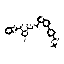 CC(C)(C)OC(=O)c1ccc(-c2ccc3nccc(C(=O)NCC(=O)N4C[C@@H](F)C[C@H]4C(=O)c4nc5ccccc5o4)c3c2)cc1